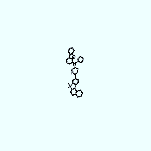 CC1(C)c2cc(-c3ccc(N(c4ccccc4)c4cccc5c4oc4ccccc45)cn3)ccc2-c2c1ccc1ccccc21